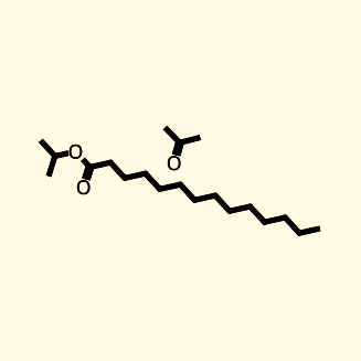 CC(C)=O.CCCCCCCCCCCCCC(=O)OC(C)C